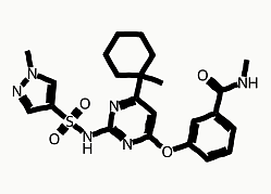 CNC(=O)c1cccc(Oc2cc(C3(C)CCCCC3)nc(NS(=O)(=O)c3cnn(C)c3)n2)c1